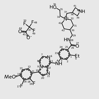 CCc1cc(Nc2nccn3c(-c4ccc(OC)c(F)c4F)cnc23)ccc1C(=O)NCC1CC[N+](CCO)(CC2CNC2)CC1.O=C([O-])C(F)(F)F